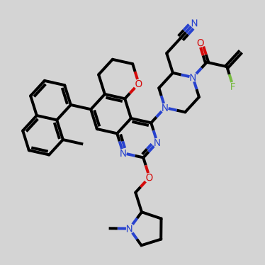 C=C(F)C(=O)N1CCN(c2nc(OCC3CCCN3C)nc3cc(-c4cccc5cccc(C)c45)c4c(c23)OCCC4)CC1CC#N